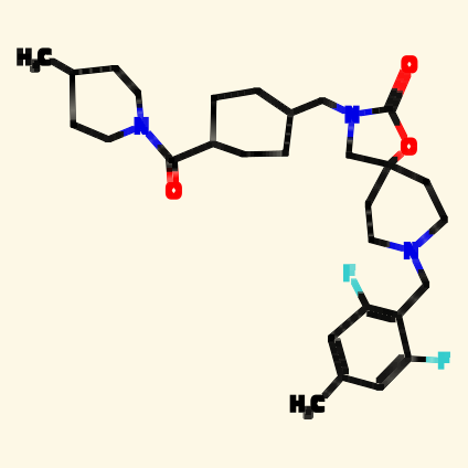 Cc1cc(F)c(CN2CCC3(CC2)CN(CC2CCC(C(=O)N4CCC(C)CC4)CC2)C(=O)O3)c(F)c1